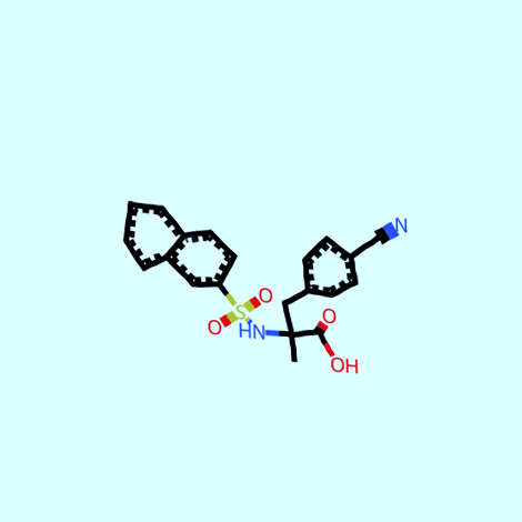 CC(Cc1ccc(C#N)cc1)(NS(=O)(=O)c1ccc2ccccc2c1)C(=O)O